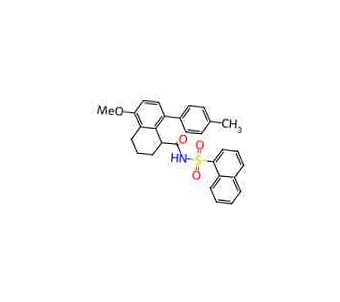 COc1ccc(-c2ccc(C)cc2)c2c1CCCC2C(=O)NS(=O)(=O)c1cccc2ccccc12